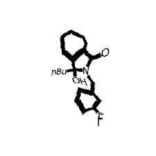 CCCCC1(O)C2=C(C=CCC2)C(=O)N1Cc1cccc(F)c1